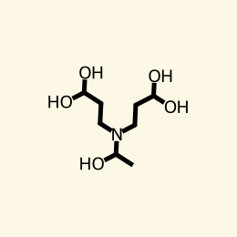 CC(O)N(CCC(O)O)CCC(O)O